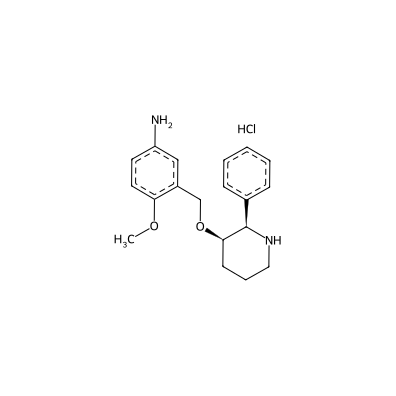 COc1ccc(N)cc1CO[C@@H]1CCCN[C@@H]1c1ccccc1.Cl